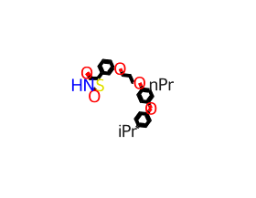 CCCc1cc(Oc2ccc(C(C)C)cc2)ccc1OCCCOc1cccc(C2SC(=O)NC2=O)c1